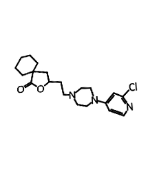 O=C1OC(CCN2CCN(c3ccnc(Cl)c3)CC2)CC12CCCCC2